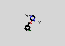 O=C(O)N1CCN(C(=O)O)C(OCc2cccc(Cl)c2)C1